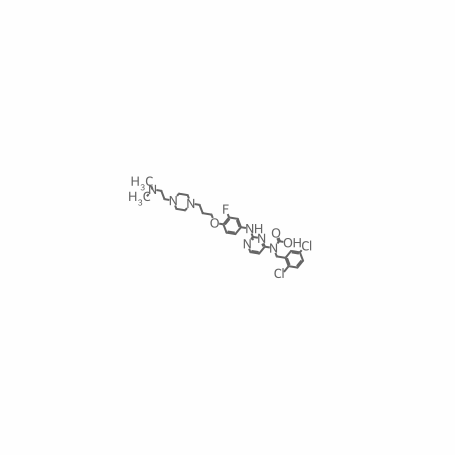 CN(C)CCN1CCN(CCCOc2ccc(Nc3nccc(N(Cc4cc(Cl)ccc4Cl)C(=O)O)n3)cc2F)CC1